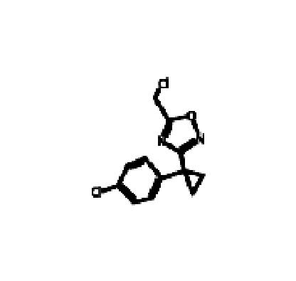 ClCc1nc(C2(c3ccc(Cl)cc3)CC2)no1